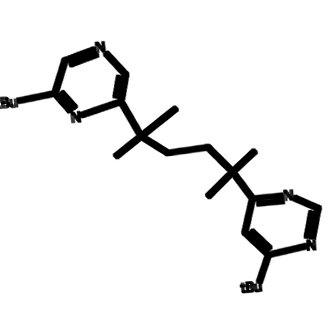 CC(C)(C)c1cc(C(C)(C)CCC(C)(C)c2cncc(C(C)(C)C)n2)ncn1